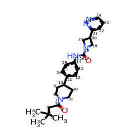 CC(C)(C)CC(=O)N1CCC(c2ccc(NC(=O)N3CC(c4cccnn4)C3)cc2)CC1